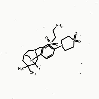 CC1(C)CC2CN(CCS(=O)(=O)CCN)C[C@H]1N(c1ccc(N3CCS(=O)(=O)CC3)cc1)C2